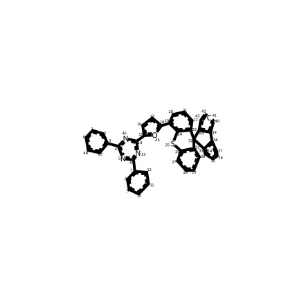 c1ccc(-c2nc(-c3ccccc3)nc(-c3ccc(-c4cccc5c4Sc4ccccc4C54c5ccccc5-c5ccccc54)o3)n2)cc1